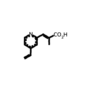 C=Cc1ccnc(C=C(C)C(=O)O)c1